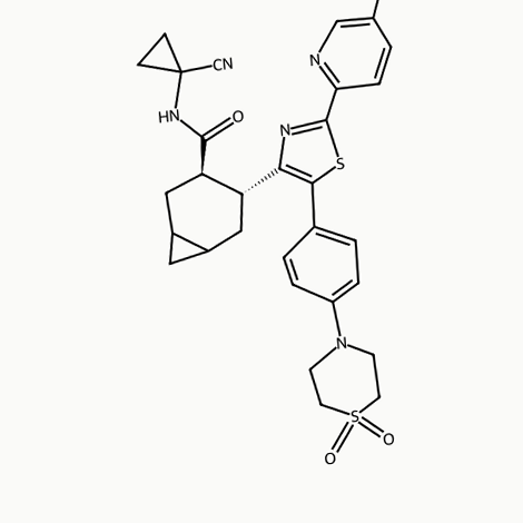 N#CC1(NC(=O)[C@@H]2CC3CC3C[C@H]2c2nc(-c3ccc(F)cn3)sc2-c2ccc(N3CCS(=O)(=O)CC3)cc2)CC1